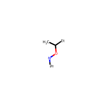 CCC(C)O[N]C(C)C